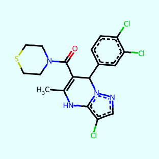 CC1=C(C(=O)N2CCSCC2)C(c2ccc(Cl)c(Cl)c2)n2ncc(Cl)c2N1